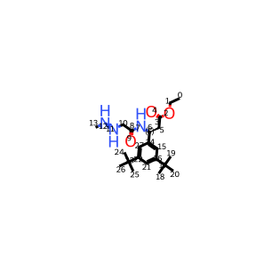 CCOC(=O)C[C@H](NC(=O)CNNC)c1cc(C(C)(C)C)cc(C(C)(C)C)c1